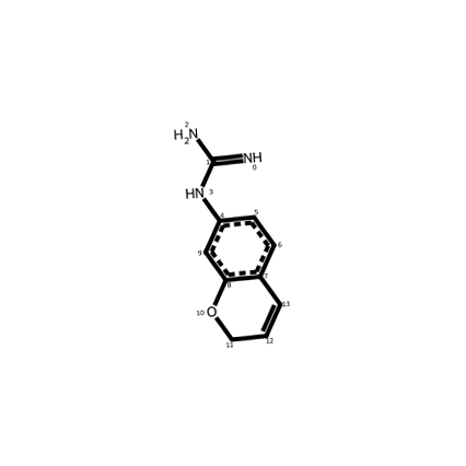 N=C(N)Nc1ccc2c(c1)OCC=C2